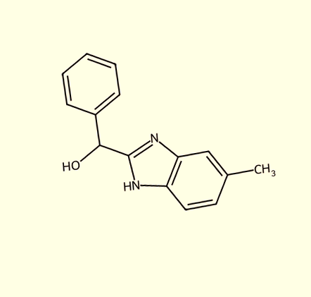 Cc1ccc2[nH]c(C(O)c3ccccc3)nc2c1